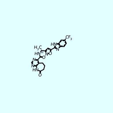 C[C@@H](NC(=O)c1ncnc2c1CCCC(=O)N2)c1cc(-c2nc3ccc(C(F)(F)F)cc3[nH]2)on1